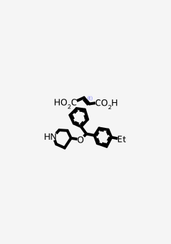 CCc1ccc(C(OC2CCNCC2)c2ccccc2)cc1.O=C(O)/C=C/C(=O)O